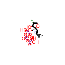 CC(C)/C=C/[C@]1(COP(=O)(O)OP(=O)(O)OP(=O)(O)O)OC=C(F)[C@@H]1O